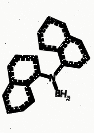 BN(c1cccc2ccccc12)c1cccc2ccccc12